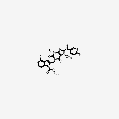 Cn1c(Nc2ccc(F)nc2)nc2c1c(=O)n(Cc1cc3c(Cl)cccc3n1C(=O)OC(C)(C)C)c(=O)n2C